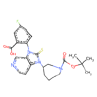 CC(C)(C)OC(=O)N1CCCC(n2c(=S)n(-c3ccc(F)cc3C(=O)O)c3cnccc32)C1